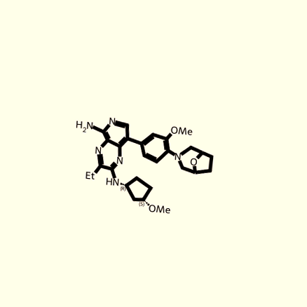 CCc1nc2c(N)ncc(-c3ccc(N4CC5CCC(C4)O5)c(OC)c3)c2nc1N[C@@H]1CC[C@H](OC)C1